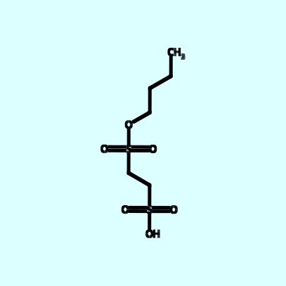 CCCCOS(=O)(=O)CCS(=O)(=O)O